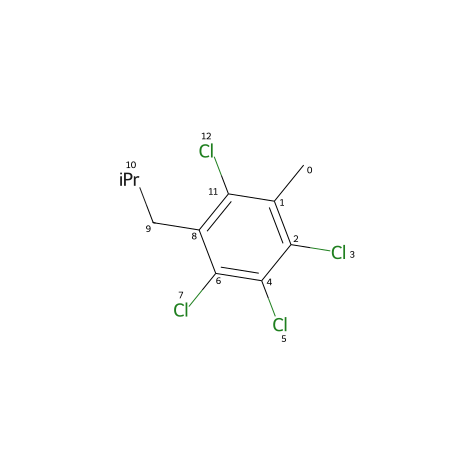 Cc1c(Cl)c(Cl)c(Cl)c(CC(C)C)c1Cl